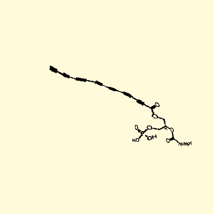 C#CC#CC#CC#CC#CC#CC#CC(=O)OC[C@H](COP(=O)(O)O)OC(=O)CCCCCCC